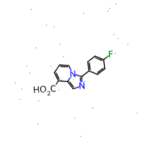 O=C(O)c1cccn2c(-c3ccc(F)cc3)ncc12